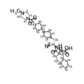 CN1CCN(S(=O)(=O)c2ccc(-c3ccc(C[C@@H](C#N)NC(=O)[C@]4(NC(=O)O)CCc5ccccc5C4)cc3)cc2)CC1